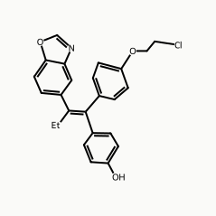 CCC(=C(c1ccc(O)cc1)c1ccc(OCCCl)cc1)c1ccc2ocnc2c1